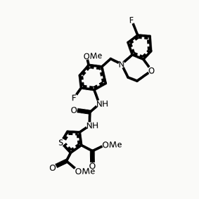 COC(=O)c1scc(NC(=O)Nc2cc(CN3CCOc4ccc(F)cc43)c(OC)cc2F)c1C(=O)OC